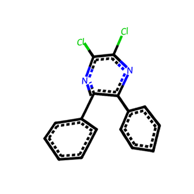 Clc1nc(-c2ccccc2)c(-c2ccccc2)nc1Cl